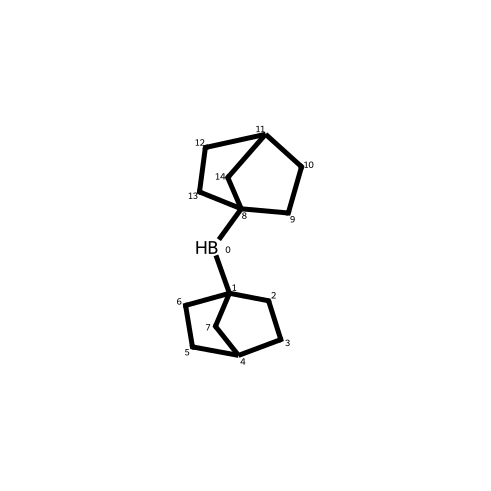 B(C12CCC(CC1)C2)C12CCC(CC1)C2